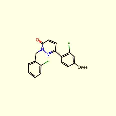 COc1ccc(-c2ccc(=O)n(Cc3ccccc3F)n2)c(F)c1